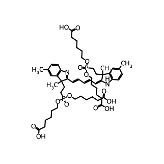 Cc1ccc2c(c1)C(C)(CCP(=O)(OCCCCCC(=O)O)OCCCCCC(=O)O)C(C=CC=CC=C1Nc3ccc(C)cc3C1(C)CCP(=O)(OCCCCCC(=O)O)OCCCCCC(=O)O)=N2